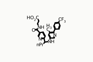 CCCC(Nc1cnc(-c2ccc(C(F)(F)F)cc2)c(C)c1)c1ccc(C(=O)NCCC(=O)O)cn1